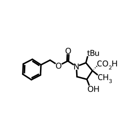 CC(C)(C)C1N(C(=O)OCc2ccccc2)CC(O)[C@@]1(C)C(=O)O